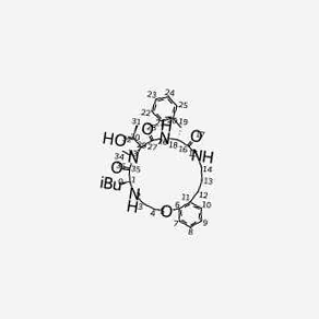 CCC(C)[C@@H]1NCCOc2ccccc2CCCNC(=O)[C@@H](Cc2ccccc2)NC(=O)[C@H]([C@H](C)O)N(C)C1=O